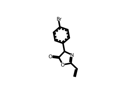 C=CC1=NC(c2ccc(Br)cc2)C(=O)O1